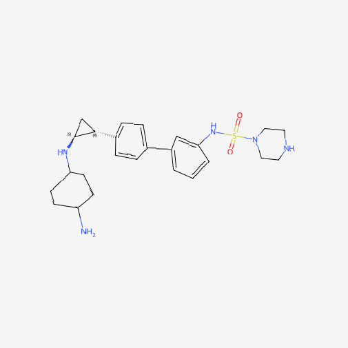 NC1CCC(N[C@H]2C[C@@H]2c2ccc(-c3cccc(NS(=O)(=O)N4CCNCC4)c3)cc2)CC1